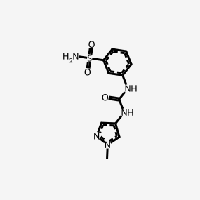 Cn1cc(NC(=O)Nc2cccc(S(N)(=O)=O)c2)cn1